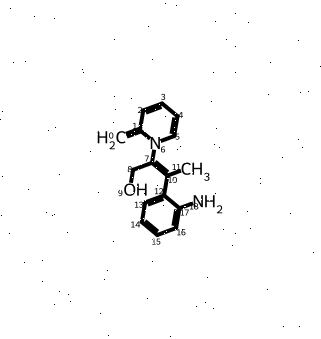 C=C1C=CC=CN1/C(CO)=C(\C)c1ccccc1N